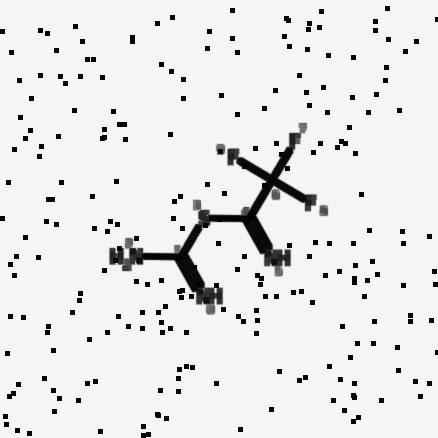 N=C(N)SC(=N)C(F)(F)F